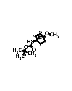 COC12CCC(NC(=O)OC(C)(C)C)(CC1)C2